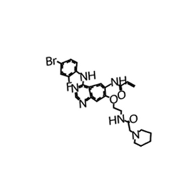 C=CC(=O)Nc1cc2c(Nc3ccc(Br)cc3F)ncnc2cc1OCCNC(=O)CN1CCCCC1